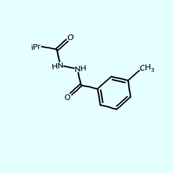 Cc1cccc(C(=O)NNC(=O)C(C)C)c1